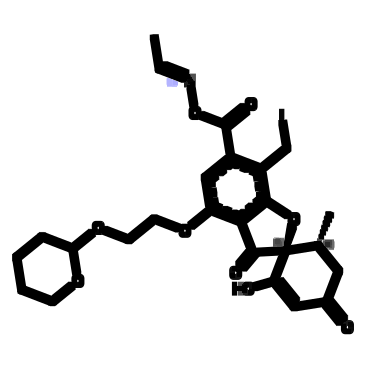 C/C=N/OC(=O)c1cc(OCCOC2CCCCO2)c2c(c1CI)O[C@]1(C2=O)C(O)=CC(=O)C[C@H]1C